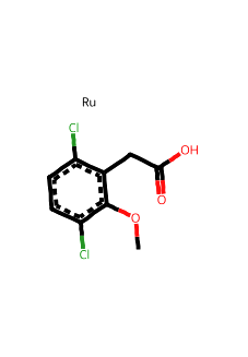 COc1c(Cl)ccc(Cl)c1CC(=O)O.[Ru]